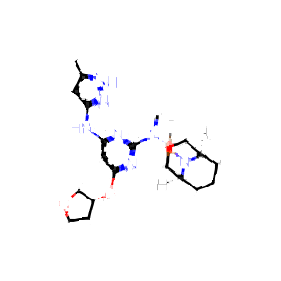 CCSN1[C@@H]2CCC[C@H]1C[C@H](N(C)c1nc(Nc3cc(C)[nH]n3)cc(O[C@H]3CCOC3)n1)C2